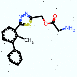 Cc1c(-c2ccccc2)cccc1-c1nnc(COC(=O)CN)s1